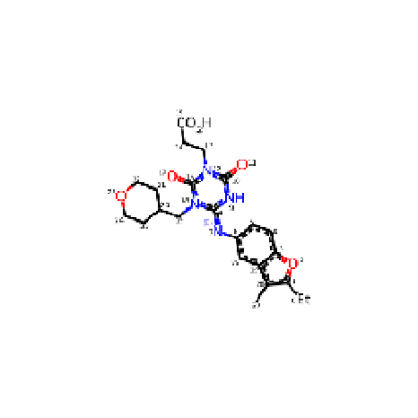 CCc1oc2ccc(/N=c3\[nH]c(=O)n(CCC(=O)O)c(=O)n3CC3CCOCC3)cc2c1C